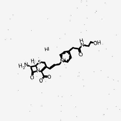 I.N[C@@H]1C(=O)N2C(C(=O)[O-])=C(/C=C/C[n+]3ccc(CC(=O)NCCO)cc3)CS[C@H]12